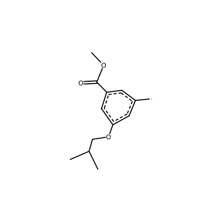 [CH2]c1cc(OCC(C)C)cc(C(=O)OC)c1